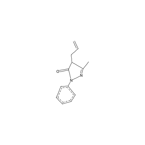 C=CCC1C(=O)N(c2ccccc2)N=C1C